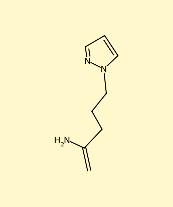 C=C(N)CCCn1cccn1